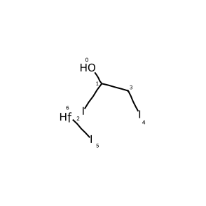 OC(I)CI.[I][Hf]